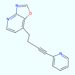 C(#Cc1ccccn1)CCc1ccnc2ncoc12